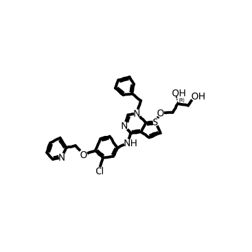 OC[C@@H](O)COS1=C2C(=C(Nc3ccc(OCc4ccccn4)c(Cl)c3)N=CN2Cc2ccccc2)C=C1